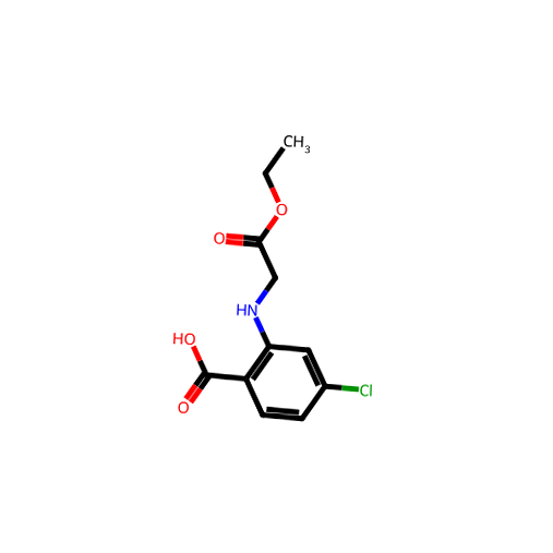 CCOC(=O)CNc1cc(Cl)ccc1C(=O)O